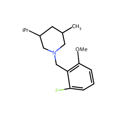 COc1cccc(F)c1CN1CC(C)CC(C(C)C)C1